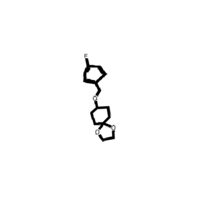 Fc1ccc(COC2CCC3(CC2)OCCO3)cc1